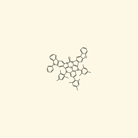 Cc1cc(C)c(B2c3cc(-c4c(C)cc(C)cc4C)cc4c3-n3c5c2c2cc6oc7ccccc7c6cc2n5c(=O)n2c5cc6c7ccccc7n(-c7ccccc7)c6cc5c(c32)B4c2c(C)cc(C)cc2C)c(C)c1